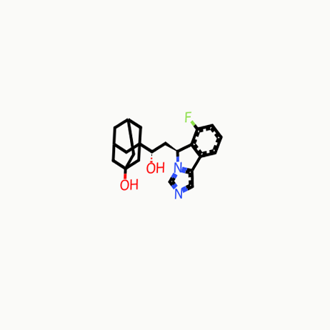 O[C@@H](C[C@H]1c2c(F)cccc2-c2cncn21)C12CC3CC(CC(O)(C3)C1)C2